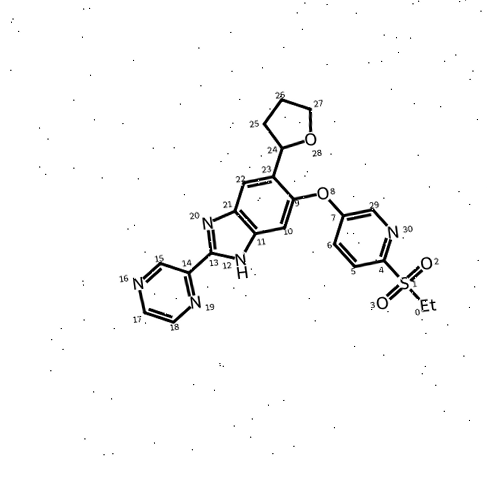 CCS(=O)(=O)c1ccc(Oc2cc3[nH]c(-c4cnccn4)nc3cc2C2CCCO2)cn1